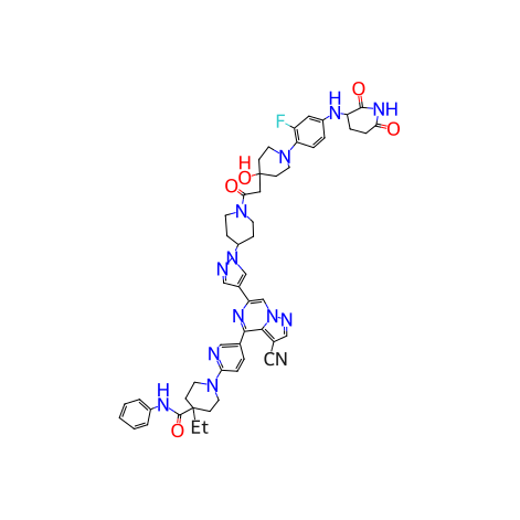 CCC1(C(=O)Nc2ccccc2)CCN(c2ccc(-c3nc(-c4cnn(C5CCN(C(=O)CC6(O)CCN(c7ccc(NC8CCC(=O)NC8=O)cc7F)CC6)CC5)c4)cn4ncc(C#N)c34)cn2)CC1